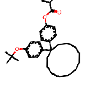 CC(C)C(=O)Oc1ccc(C2(c3ccc(OC(C)(C)C)cc3)CCCCCCCCCCC2)cc1